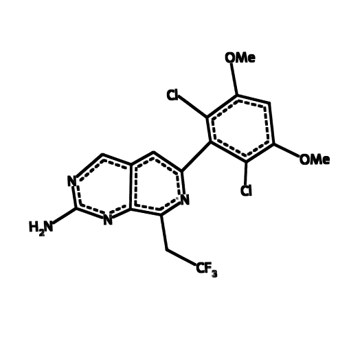 COc1cc(OC)c(Cl)c(-c2cc3cnc(N)nc3c(CC(F)(F)F)n2)c1Cl